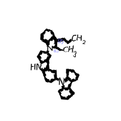 C=C/C=c1\c(=C/C)n(-c2ccc3[nH]c4ccc(-n5c6ccccc6c6ccccc65)cc4c3c2)c2ccccc12